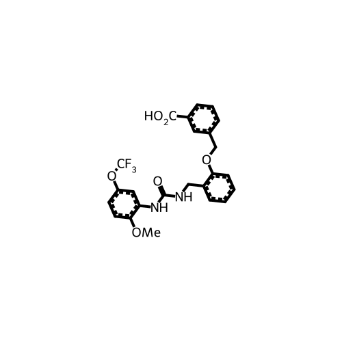 COc1ccc(OC(F)(F)F)cc1NC(=O)NCc1ccccc1OCc1cccc(C(=O)O)c1